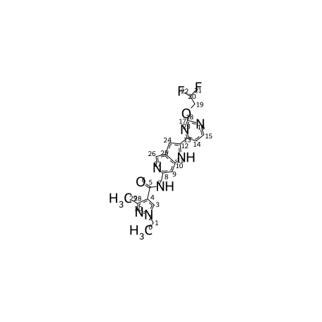 CCn1cc(C(=O)Nc2cc3[nH]c(-c4ccnc(OCC(F)F)n4)cc3cn2)c(C)n1